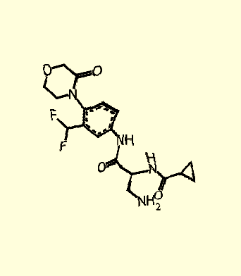 NC[C@H](NC(=O)C1CC1)C(=O)Nc1ccc(N2CCOCC2=O)c(C(F)F)c1